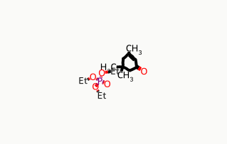 CC1=CC(=O)CC(C)(C)C1.CCOP(=O)(OCC)OCC